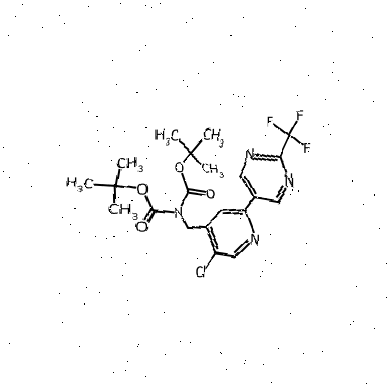 CC(C)(C)OC(=O)N(Cc1cc(-c2cnc(C(F)(F)F)nc2)ncc1Cl)C(=O)OC(C)(C)C